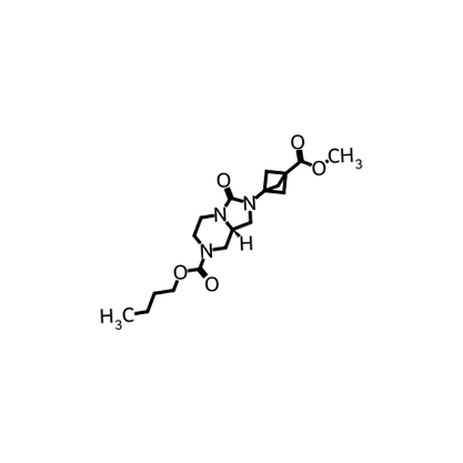 CCCCOC(=O)N1CCN2C(=O)N(C34CC(C(=O)OC)(C3)C4)C[C@@H]2C1